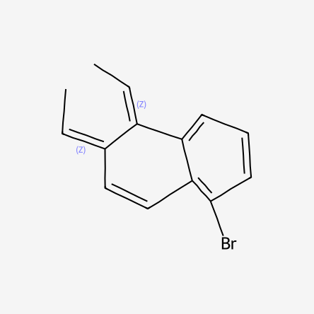 C/C=c1/ccc2c(Br)cccc2/c1=C/C